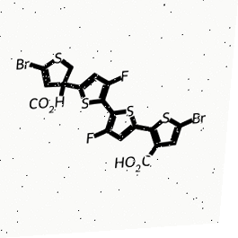 O=C(O)c1cc(Br)sc1-c1cc(F)c(-c2sc(C3(C(=O)O)C=C(Br)SC3)cc2F)s1